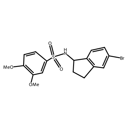 COc1ccc(S(=O)(=O)NC2CCc3cc(Br)ccc32)cc1OC